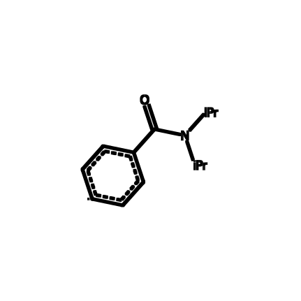 CC(C)N(C(=O)c1cc[c]cc1)C(C)C